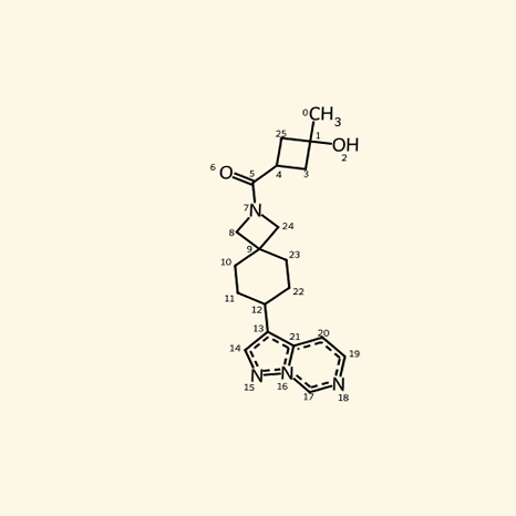 CC1(O)CC(C(=O)N2CC3(CCC(c4cnn5cnccc45)CC3)C2)C1